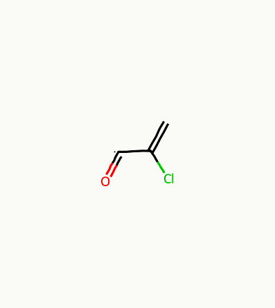 C=C(Cl)[C]=O